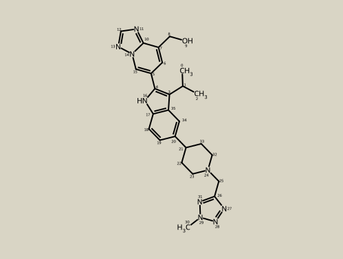 CC(C)c1c(-c2cc(CO)c3ncnn3c2)[nH]c2ccc(C3CCN(Cc4nnn(C)n4)CC3)cc12